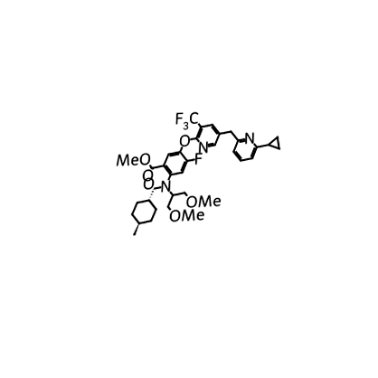 COCC(COC)N(c1cc(F)c(Oc2ncc(Cc3cccc(C4CC4)n3)cc2C(F)(F)F)cc1C(=O)OC)C(=O)[C@H]1CC[C@H](C)CC1